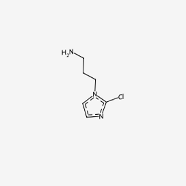 NCCCn1ccnc1Cl